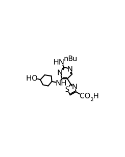 CCCCNc1ncc(-c2nc(C(=O)O)cs2)c(NC2CCC(O)CC2)n1